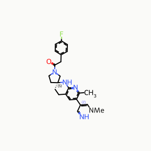 CN/C=C(\C=N)c1cc2c(nc1C)N[C@@]1(CC2)CCN(C(=O)Cc2ccc(F)cc2)C1